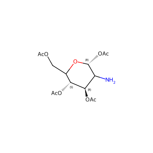 CC(=O)OCC1O[C@H](OC(C)=O)C(N)[C@@H](OC(C)=O)[C@@H]1OC(C)=O